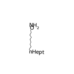 CCCCCCCCCCCCCCCCON